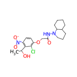 CC(O)c1c([N+](=O)[O-])ccc(OCC(=O)NN2CCCC3CCCCC32)c1Cl